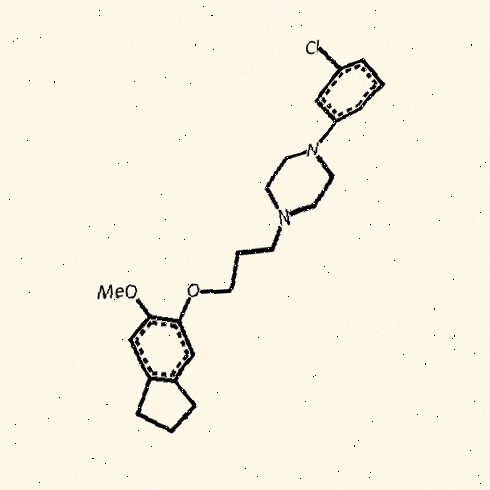 COc1cc2c(cc1OCCCN1CCN(c3cccc(Cl)c3)CC1)CCC2